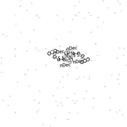 CCCCCCCCCCCCC(CCCCCCCCCC)CN1C(=O)C2=C(c3ncc(-c4ccc(-c5ccc(-c6c7ccccc7cc7ccccc67)s5)s4)s3)N(CC(CCCCCCCCCC)CCCCCCCCCCCC)C(=O)C2=C1c1ncc(-c2ccc(-c3ccc(C4=C5C=CC=CC5Cc5ccccc54)s3)s2)s1